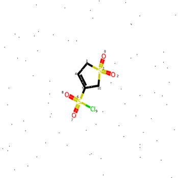 O=S1(=O)CC=C(S(=O)(=O)Cl)C1